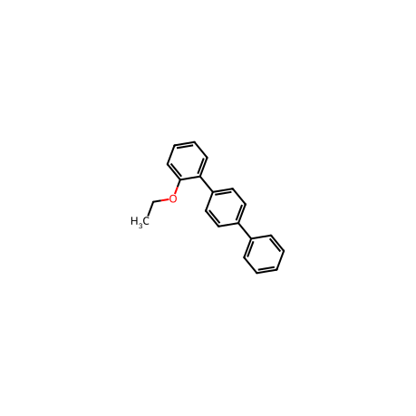 CCOc1ccccc1-c1ccc(-c2ccccc2)cc1